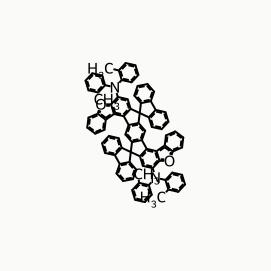 Cc1ccccc1N(c1ccccc1C)c1cc2c(c3c1oc1ccccc13)-c1cc3c(cc1C21c2ccccc2-c2ccccc21)-c1c(cc(N(c2ccccc2C)c2ccccc2C)c2oc4ccccc4c12)C31c2ccccc2-c2ccccc21